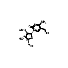 CO[C@@H]1[C@@H](O)[C@@H](CO)O[C@H]1n1cc(CO)c(N)nc1=O